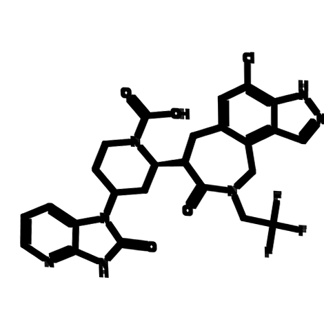 O=C1C([C@H]2CC(n3c(=O)[nH]c4ncccc43)CCN2C(=O)O)Cc2cc(Cl)c3[nH]ncc3c2CN1CC(F)(F)F